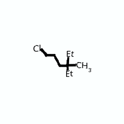 CCC(C)(CC)CCCCl